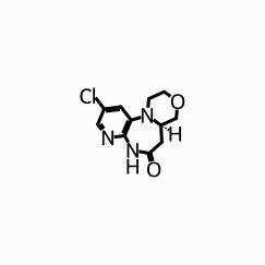 O=C1C[C@@H]2COCCN2c2cc(Cl)cnc2N1